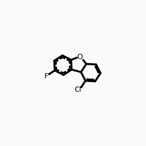 Fc1ccc2c(c1)C1C(Cl)=CC=CC1O2